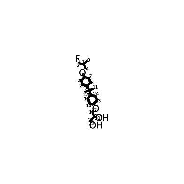 CC(CF)COc1ccc(C(C)(C)c2ccc(OCC(O)CO)cc2)cc1